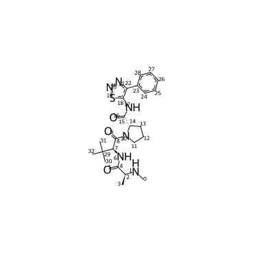 CN[C@@H](C)C(=O)N[C@H](C(=O)N1CCC[C@H]1C(=O)Nc1snnc1-c1ccccc1)C(C)(C)C